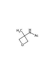 CC(=O)NC1(C)COC1